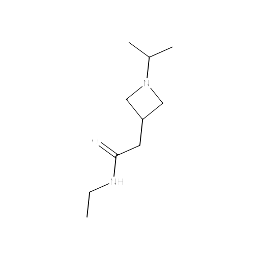 CCNC(=O)CC1CN(C(C)C)C1